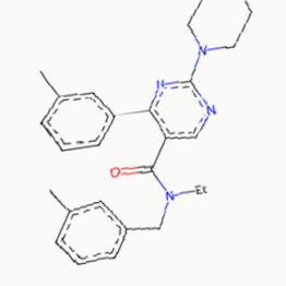 CCN(Cc1cccc(C)c1)C(=O)c1cnc(N2CCOCC2)nc1-c1cccc(C)c1